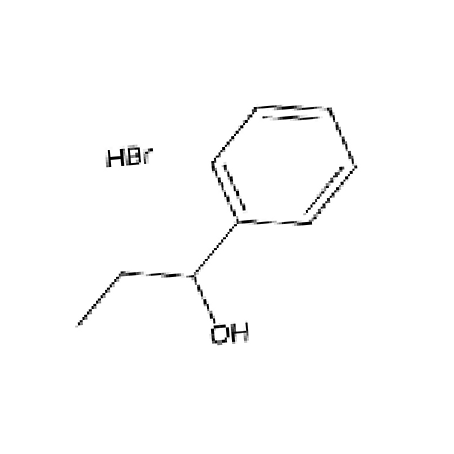 Br.CCC(O)c1ccccc1